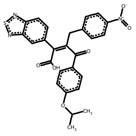 CC(C)Oc1ccc(C(=O)C(Cc2ccc([N+](=O)[O-])cc2)=C(C(=O)O)c2ccc3nsnc3c2)cc1